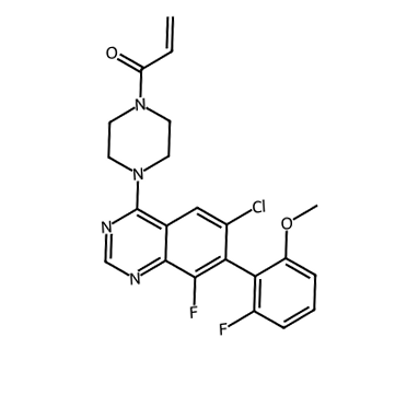 C=CC(=O)N1CCN(c2ncnc3c(F)c(-c4c(F)cccc4OC)c(Cl)cc23)CC1